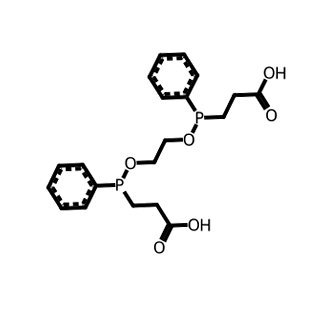 O=C(O)CCP(OCCOP(CCC(=O)O)c1ccccc1)c1ccccc1